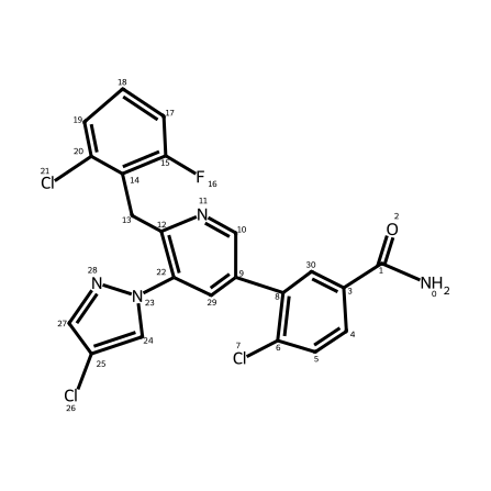 NC(=O)c1ccc(Cl)c(-c2cnc(Cc3c(F)cccc3Cl)c(-n3cc(Cl)cn3)c2)c1